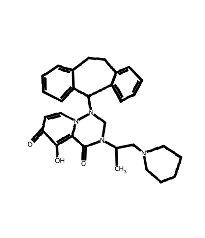 CC(CN1CCCCC1)N1CN(C2c3ccccc3CCc3ccccc32)n2ccc(=O)c(O)c2C1=O